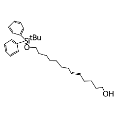 CC(C)(C)[Si](OCCCCCCCC=CCCCCO)(c1ccccc1)c1ccccc1